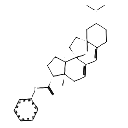 CN(C)[C@@H]1CCC2=CC3=CC[C@]4(C)[C@@H](C(=O)Nc5ccccc5)CC[C@H]4[C@@]34CC[C@]2(C1)O4